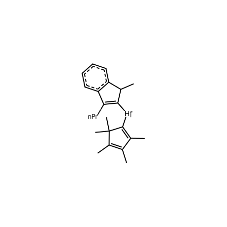 CCCC1=[C]([Hf][C]2=C(C)C(C)=C(C)C2(C)C)C(C)c2ccccc21